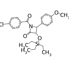 CC[Si](CC)(CC)OC1C(=O)N(C(=O)c2ccc(Cl)cc2)C1c1ccc(OC)cc1